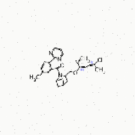 C=N/C(=C\C=C(/C)Cl)OCC1CC2CC(C2)N1C(=O)c1cc(C)ccc1-c1ncccn1